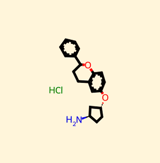 Cl.N[C@@H]1CC[C@@H](Oc2ccc3c(c2)CCC(c2ccccc2)O3)C1